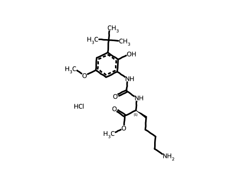 COC(=O)[C@H](CCCCN)NC(=O)Nc1cc(OC)cc(C(C)(C)C)c1O.Cl